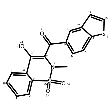 CN1C(C(=O)c2ccc3sccc3c2)=C(O)c2ccccc2S1(=O)=O